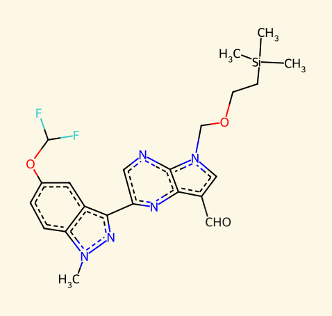 Cn1nc(-c2cnc3c(n2)c(C=O)cn3COCC[Si](C)(C)C)c2cc(OC(F)F)ccc21